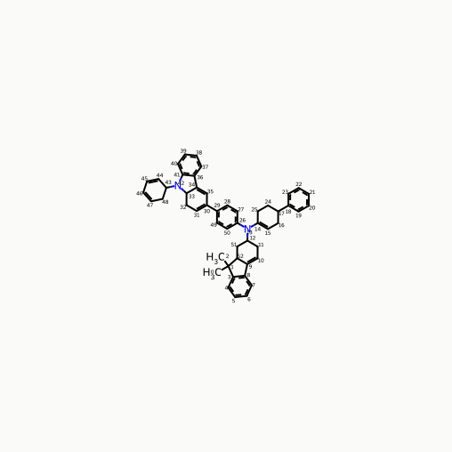 CC1(C)c2ccccc2C2=CCC(N(C3=CCC(c4ccccc4)CC3)c3ccc(C4=CCC5C(=C4)c4ccccc4N5C4C=CC=CC4)cc3)CC21